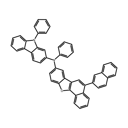 c1ccc(N(c2ccc3oc4c5ccccc5c(-c5ccc6ccccc6c5)cc4c3c2)c2ccc3c4ccccc4n(-c4ccccc4)c3c2)cc1